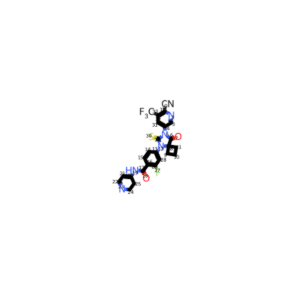 N#Cc1ncc(N2C(=O)C3(CCC3)N(c3ccc(C(=O)NC4=CC=NCC4)c(F)c3)C2=S)cc1C(F)(F)F